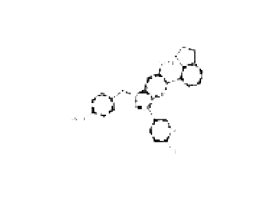 COc1ccc(Cn2nc(-c3ccc(Cl)nc3)c3nc(-c4cccc5c4CCC5)c(OC)cc32)cc1